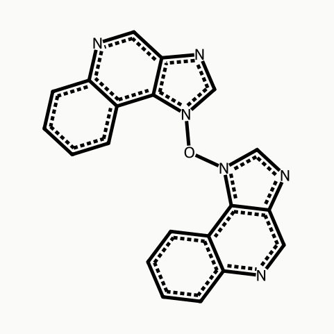 c1ccc2c(c1)ncc1ncn(On3cnc4cnc5ccccc5c43)c12